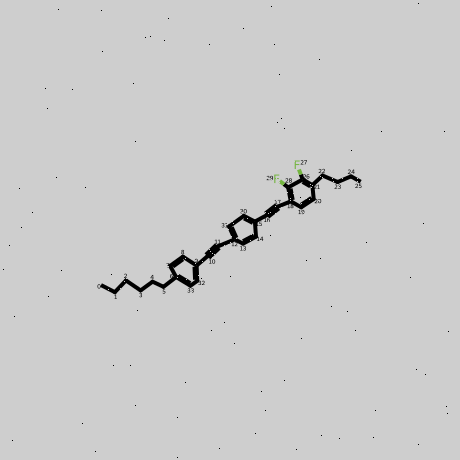 CCCCCCc1ccc(C#Cc2ccc(C#Cc3ccc(CCCC)c(F)c3F)cc2)cc1